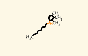 CCCCCCCCPc1ccc(C)c(C)c1C